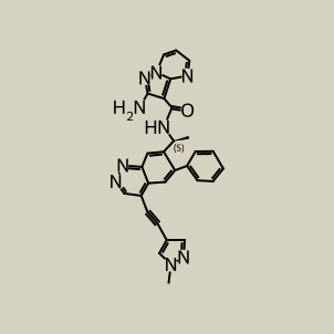 C[C@H](NC(=O)c1c(N)nn2cccnc12)c1cc2nncc(C#Cc3cnn(C)c3)c2cc1-c1ccccc1